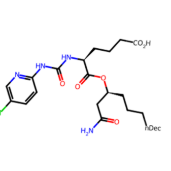 CCCCCCCCCCCCC[C@@H](CC(N)=O)OC(=O)[C@H](CCCC(=O)O)NC(=O)Nc1ccc(Cl)cn1